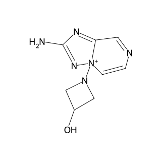 NC1=N[N+]2(N3CC(O)C3)C=CN=CC2=N1